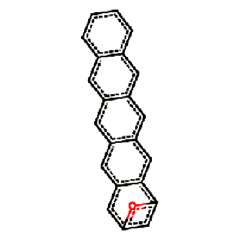 c1ccc2cc3cc4cc5c(cc6cc5o6)cc4cc3cc2c1